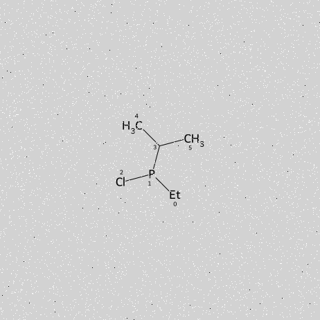 CCP(Cl)C(C)C